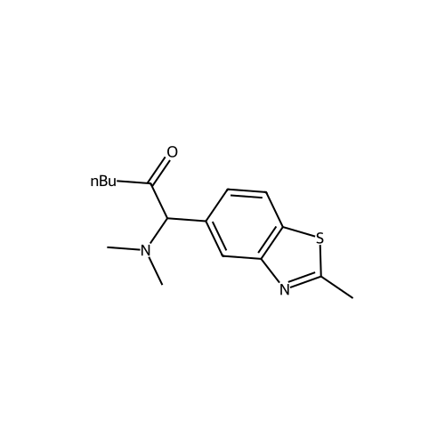 CCCCC(=O)C(c1ccc2sc(C)nc2c1)N(C)C